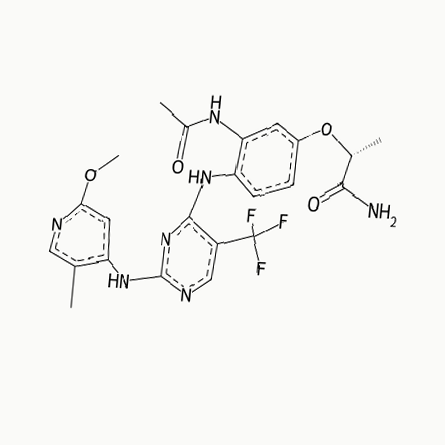 COc1cc(Nc2ncc(C(F)(F)F)c(Nc3ccc(O[C@H](C)C(N)=O)cc3NC(C)=O)n2)c(C)cn1